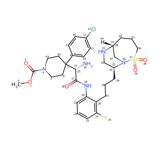 COC(=O)N1CCC(c2ccc(Cl)cc2)([C@H](N)C(=O)Nc2cccc(F)c2CCC[C@H]2CN[C@@H]3CCCS(=O)(=O)N2C3)CC1